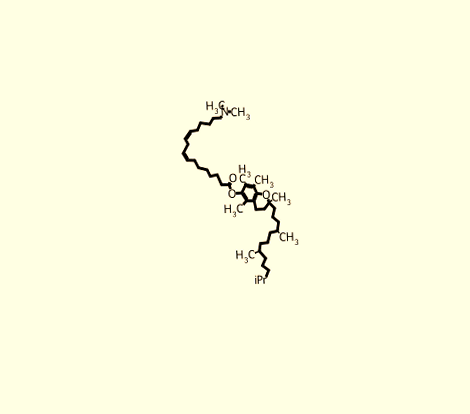 Cc1c(C)c2c(c(C)c1OC(=O)CCCCCC/C=C\C/C=C\CCCCCN(C)C)CC[C@@](C)(CCC[C@H](C)CCC[C@H](C)CCCC(C)C)O2